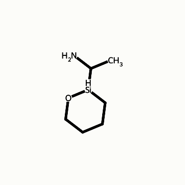 CC(N)[SiH]1CCCCO1